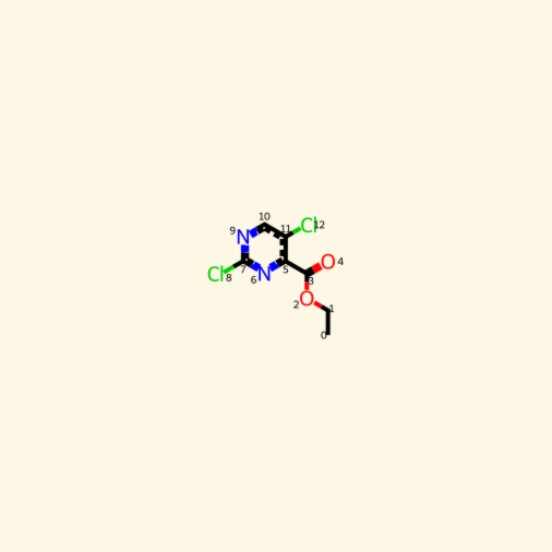 CCOC(=O)c1nc(Cl)ncc1Cl